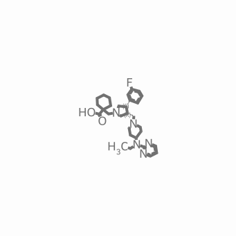 CCN(c1ncccn1)C1CCN(C[C@@H]2CN(CC3(C(=O)O)CCCCC3)C[C@@H]2c2cccc(F)c2)CC1